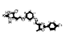 Cc1oc(-c2ccc(F)cc2)nc1CO[C@@H]1CCC[C@H](OCC=C2NC(=S)NC2=O)C1